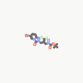 CC(C)(C)OC(=O)NCC(Cn1nc2ccc(Br)cn2c1=O)=C(F)F